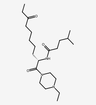 CCC(=O)CCCCC[C@H](NC(=O)CCC(C)C)C(=O)N1CCN(CC)CC1